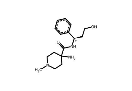 CN1CCC(N)(C(=O)N[C@H](CCO)c2ccccc2)CC1